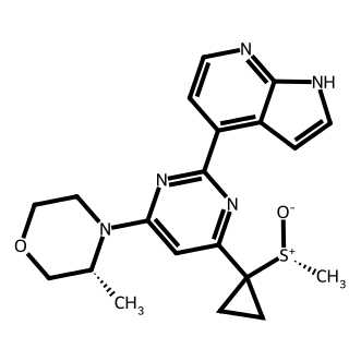 C[C@@H]1COCCN1c1cc(C2([S@@+](C)[O-])CC2)nc(-c2ccnc3[nH]ccc23)n1